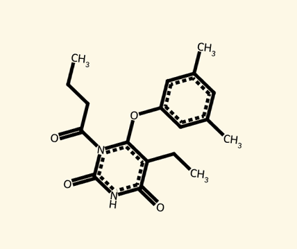 CCCC(=O)n1c(Oc2cc(C)cc(C)c2)c(CC)c(=O)[nH]c1=O